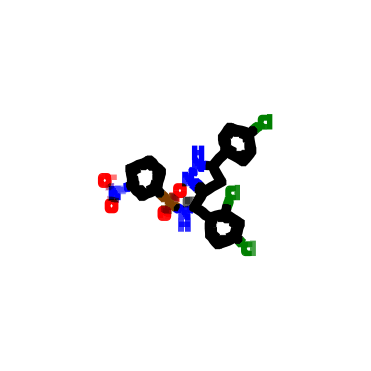 O=[N+]([O-])c1cccc(S(=O)(=O)N[C@@H](C2=NNC(c3ccc(Cl)cc3)C2)c2ccc(Cl)cc2Cl)c1